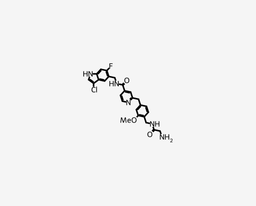 COc1cc(Cc2cc(C(=O)NCc3cc4c(Cl)c[nH]c4cc3F)ccn2)ccc1CNC(=O)CN